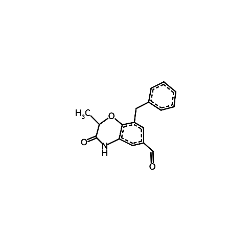 CC1Oc2c(Cc3ccccc3)cc(C=O)cc2NC1=O